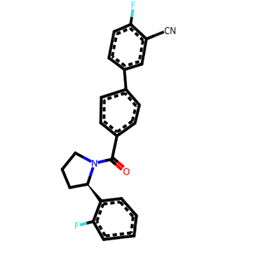 N#Cc1cc(-c2ccc(C(=O)N3CCC[C@@H]3c3ccccc3F)cc2)ccc1F